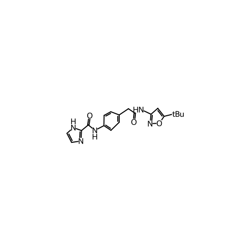 CC(C)(C)c1cc(NC(=O)Cc2ccc(NC(=O)c3ncc[nH]3)cc2)no1